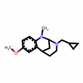 COc1ccc2c(c1)C1CCN(CC3CC3)C(C1)N2C